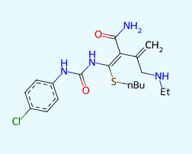 C=C(CNCC)/C(C(N)=O)=C(/NC(=O)Nc1ccc(Cl)cc1)SCCCC